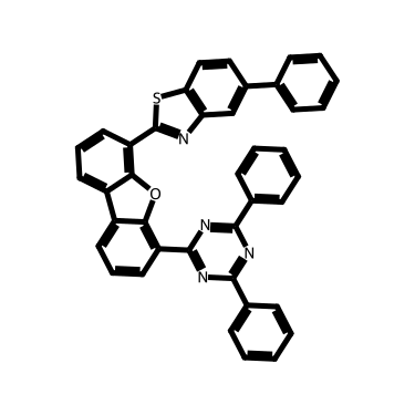 c1ccc(-c2ccc3sc(-c4cccc5c4oc4c(-c6nc(-c7ccccc7)nc(-c7ccccc7)n6)cccc45)nc3c2)cc1